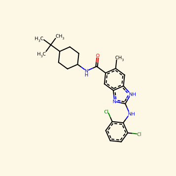 Cc1cc2[nH]c(Nc3c(Cl)cccc3Cl)nc2cc1C(=O)NC1CCC(C(C)(C)C)CC1